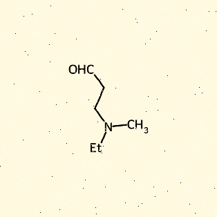 CCN(C)CCC=O